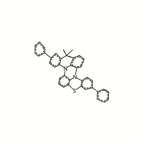 CC1(C)c2cc(-c3ccccc3)ccc2N2c3cccc4c3N(c3ccc(-c5ccccc5)cc3S4)c3cccc1c32